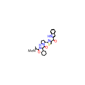 CN[C@@H](C)C(=O)N[C@H](C(=O)N1CCC[C@H]1c1nc(C(=O)c2cc3ccccc3[nH]2)cs1)C1CCCCC1